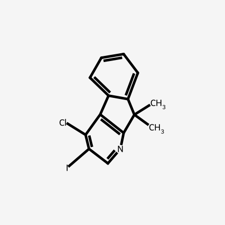 CC1(C)c2ccccc2-c2c1ncc(I)c2Cl